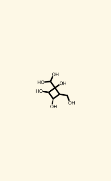 OCC1[C@@H](O)C(O)C1(O)C(O)O